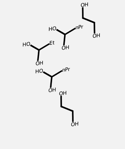 CCC(O)O.CCCC(O)O.CCCC(O)O.OCCO.OCCO